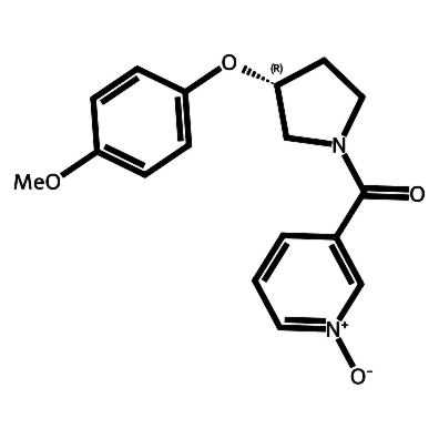 COc1ccc(O[C@@H]2CCN(C(=O)c3ccc[n+]([O-])c3)C2)cc1